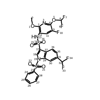 COc1nc(OC(F)F)c(F)cc1NS(=O)(=O)c1cn(S(=O)(=O)c2ccccc2)c2cc(C(F)F)ccc12